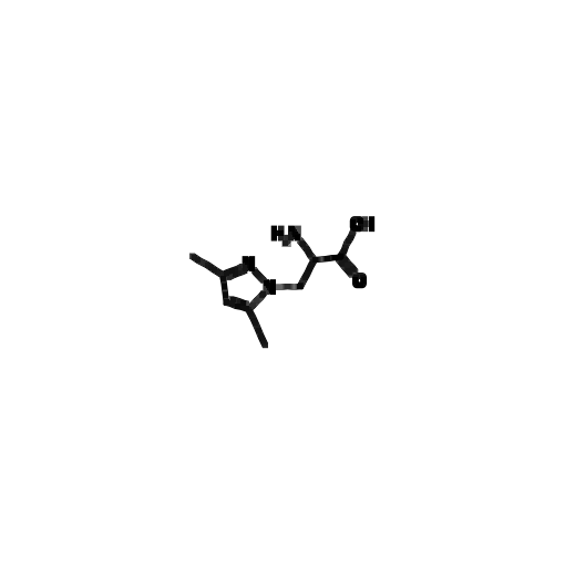 Cc1cc(C)n(CC(N)C(=O)O)n1